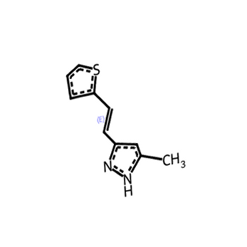 Cc1cc(/C=C/c2cccs2)n[nH]1